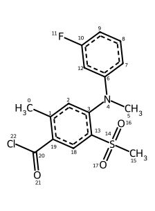 Cc1cc(N(C)c2cccc(F)c2)c(S(C)(=O)=O)cc1C(=O)Cl